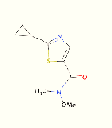 CON(C)C(=O)c1cnc(C2CC2)s1